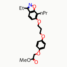 CCCc1c(OCCCOc2ccc(OCC(=O)OC)cc2)ccc2c(CC)noc12